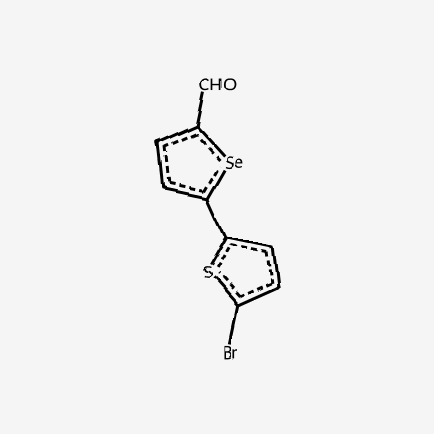 O=Cc1ccc(-c2ccc(Br)s2)[se]1